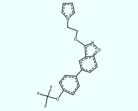 FC(F)(F)Oc1ccc(-c2ccc3onc(OCCn4cccc4)c3c2)cc1